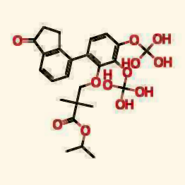 CC(C)OC(=O)C(C)(C)COc1c(-c2cccc3c2CCC3=O)ccc(OC(O)(O)O)c1OC(O)(O)O